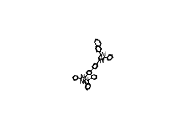 C1=Cc2cc(-c3cc(-c4ccc(-c5ccc(-c6nc(-c7ccccc7)nc7c8ccccc8c(-c8ccccc8)n67)cc5)cc4)nc(-c4ccccc4)n3)ccc2CC1